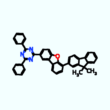 CC1(C)c2ccccc2-c2ccc(-c3cccc4c3oc3ccc(-c5nc(-c6ccccc6)nc(-c6ccccc6)n5)cc34)cc21